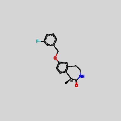 C[C@@H]1C(=O)NCCc2cc(OCc3cccc(F)c3)ccc21